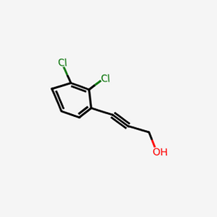 OCC#Cc1cccc(Cl)c1Cl